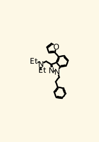 CCN(CC)Cc1nn(CCc2ccccc2)c2cccc(-c3ccco3)c12